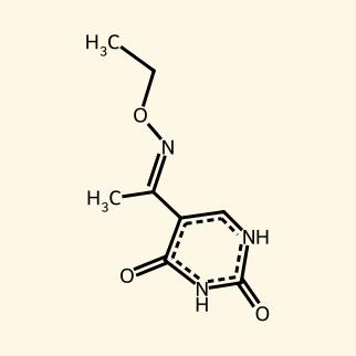 CCO/N=C(\C)c1c[nH]c(=O)[nH]c1=O